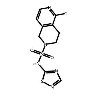 O=S(=O)(Nc1ncns1)N1CCc2c(ccnc2Cl)C1